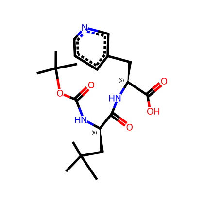 CC(C)(C)C[C@@H](NC(=O)OC(C)(C)C)C(=O)N[C@@H](Cc1cccnc1)C(=O)O